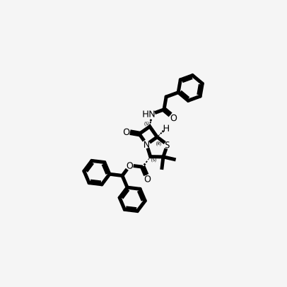 CC1(C)S[C@@H]2[C@@H](NC(=O)Cc3ccccc3)C(=O)N2[C@H]1C(=O)OC(c1ccccc1)c1ccccc1